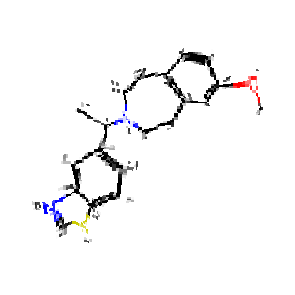 COc1ccc2c(c1)CCN([C@H](C)c1ccc3scnc3c1)CC2